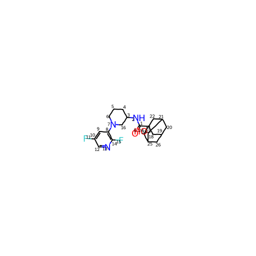 O=C(NC1CCCN(c2cc(F)cnc2F)C1)C12CC3CC(C1)C(O)C(C3)C2